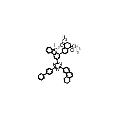 CC1(C)CCC(C)(C)c2cc(-c3cc(-c4nc(-c5ccc(-c6ccccc6)cc5)nc(-c5ccc6ccc7c(c6c5)C=CCC7)n4)cc4c3oc3ccccc34)ccc21